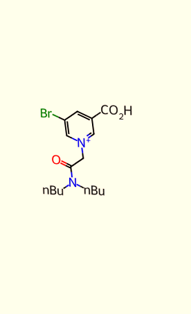 CCCCN(CCCC)C(=O)C[n+]1cc(Br)cc(C(=O)O)c1